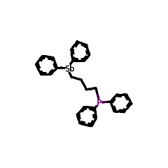 c1ccc(P(CCC[CH2][Sb]([c]2ccccc2)[c]2ccccc2)c2ccccc2)cc1